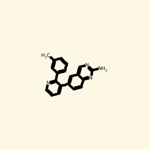 Cc1cccc(-c2ncccc2-c2ccc3nc(N)ncc3c2)c1